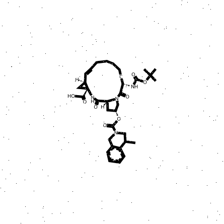 CC1CN(C(=O)O[C@@H]2C[C@H]3C(=O)N[C@]4(C(=O)O)C[C@H]4/C=C\CCCCC[C@H](NC(=O)OC(C)(C)C)C(=O)N3C2)Cc2ccccc21